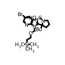 CC(C)(C)C1(c2nc3cc(Br)cnc3n2COCC[Si](C)(C)C)CCCN1C(=O)O